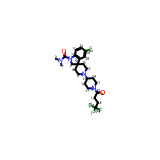 CN(C)C(=O)N1CC2(CCN(C3CCN(C(=O)CCC(F)(F)F)CC3)CC2)c2cc(F)ccc21